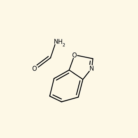 NC=O.c1ccc2ocnc2c1